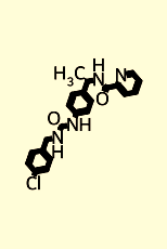 C[C@H](NC(=O)c1ccccn1)c1ccc(NC(=O)NCc2ccc(Cl)cc2)cc1